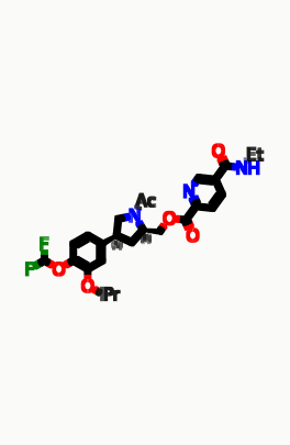 CCNC(=O)c1ccc(C(=O)OC[C@H]2C[C@@H](c3ccc(OC(F)F)c(OC(C)C)c3)CN2C(C)=O)nc1